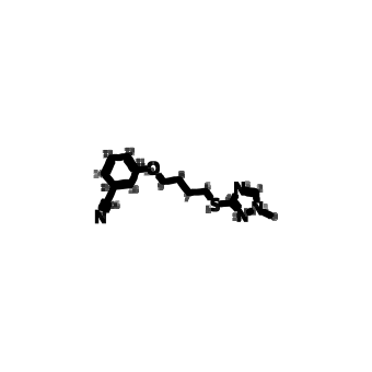 Cn1cnc(SCCCCOc2cccc(C#N)c2)n1